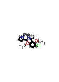 C=C(c1c(OC)ccc(Cl)c1OC)N(C)CC1CCCN1C